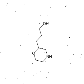 OCCCC1CNCCO1